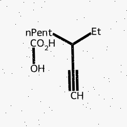 C#CC(CC)CCCCC.O=C(O)O